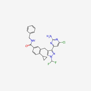 Nc1nc(Cl)cc(-c2nn(C(F)F)cc2Cc2cc(C(=O)NCc3ccccc3)ccc2C2CC2)n1